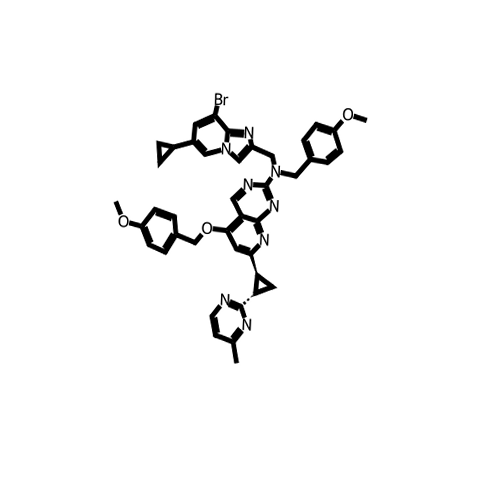 COc1ccc(COc2cc([C@H]3C[C@@H]3c3nccc(C)n3)nc3nc(N(Cc4ccc(OC)cc4)Cc4cn5cc(C6CC6)cc(Br)c5n4)ncc23)cc1